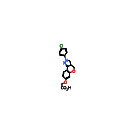 O=C(O)COc1ccc2c(c1)OCC1CN(c3ccc(Cl)cc3)N=C21